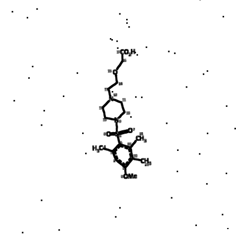 COc1cc(C)c(S(=O)(=O)N2CCN(CCOCC(=O)O)CC2)c(C)c1C